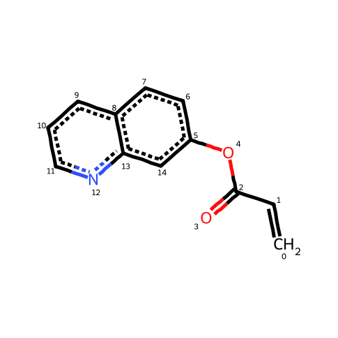 C=CC(=O)Oc1ccc2cccnc2c1